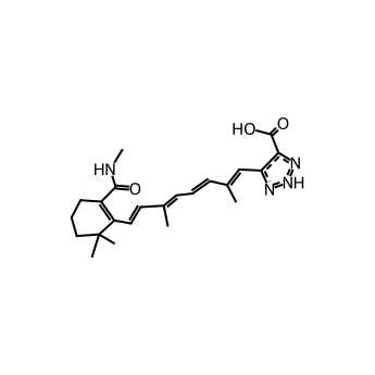 CNC(=O)C1=C(/C=C/C(C)=C/C=C/C(C)=C/c2n[nH]nc2C(=O)O)C(C)(C)CCC1